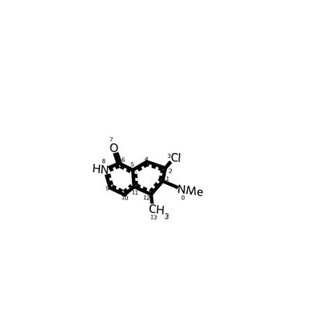 CNc1c(Cl)cc2c(=O)[nH]ccc2c1C